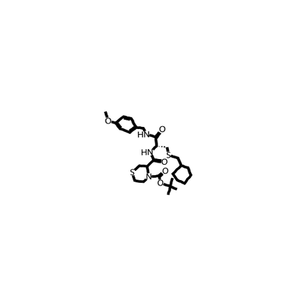 COc1ccc(CNC(=O)[C@H](CSCC2CCCCC2)NC(=O)C2CSCCN2C(=O)OC(C)(C)C)cc1